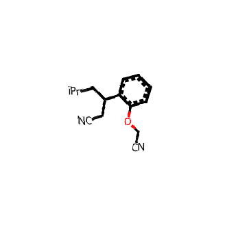 CC(C)CC(CC#N)c1ccccc1OCC#N